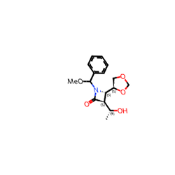 COC(c1ccccc1)N1C(=O)[C@H]([C@@H](C)O)[C@H]1[C@H]1COCO1